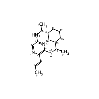 CC=Cc1ncc(NCC)nc1NC(C)C1CCCCC1